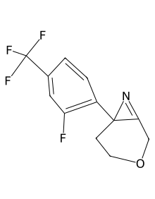 Fc1cc(C(F)(F)F)ccc1C12CCOCC1=N2